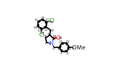 COc1ccc(CN2CCC(Cc3c(Cl)cccc3Cl)C2=O)cc1